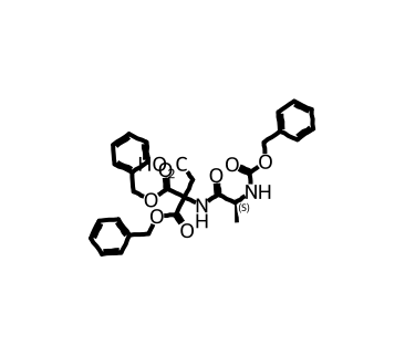 C[C@H](NC(=O)OCc1ccccc1)C(=O)NC(CC(=O)O)(C(=O)OCc1ccccc1)C(=O)OCc1ccccc1